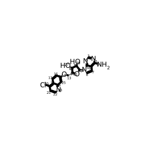 Nc1ncnc2c1ccn2[C@@H]1O[C@H](COc2ccc3c(Cl)ccnc3c2)[C@@H](O)[C@H]1O